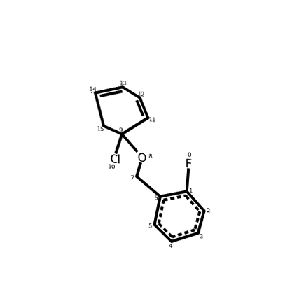 Fc1ccccc1COC1(Cl)C=CC=[C]C1